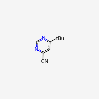 CC(C)(C)c1cc(C#N)ncn1